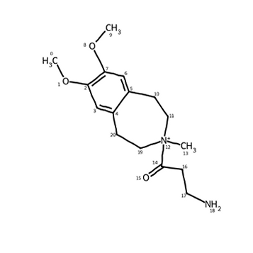 COc1cc2c(cc1OC)CC[N+](C)(C(=O)CCN)CC2